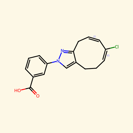 O=C(O)c1cccc(-n2cc3c(n2)C/C=C\C(Cl)=C/CC3)c1